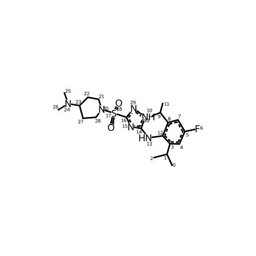 CC(C)c1cc(F)cc(C(C)C)c1Nc1nc(S(=O)(=O)N2CCC(N(C)C)CC2)n[nH]1